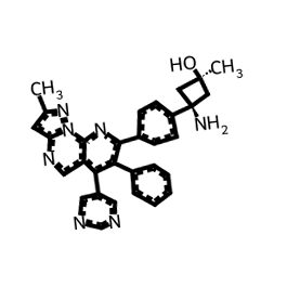 Cc1cc2ncc3c(-c4cncnc4)c(-c4ccccc4)c(-c4ccc([C@]5(N)C[C@@](C)(O)C5)cc4)nc3n2n1